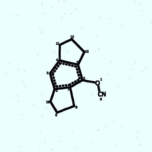 N#COc1c2c(cc3c1CCC3)CCC2